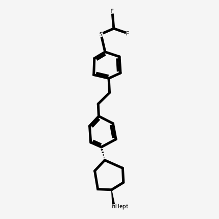 CCCCCCC[C@H]1CC[C@H](c2ccc(CCc3ccc(SC(F)F)cc3)cc2)CC1